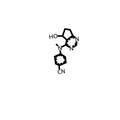 CN(c1ccc(C#N)cc1)c1ncnc2c1C(O)CC2